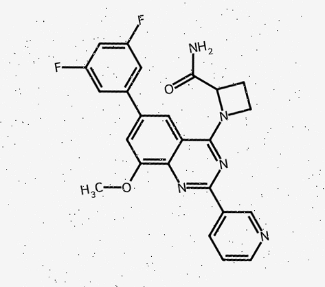 COc1cc(-c2cc(F)cc(F)c2)cc2c(N3CCC3C(N)=O)nc(-c3cccnc3)nc12